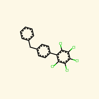 Clc1c(Cl)c(Cl)c(-c2ccc([CH]c3ccccc3)cc2)c(Cl)c1Cl